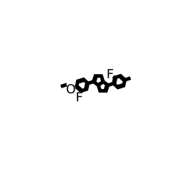 CCOc1ccc(C2=CCC3C(c4ccc(C)cc4F)=CCC23)cc1F